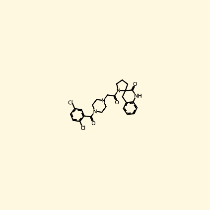 O=C(c1cc(Cl)ccc1Cl)N1CCN(CC(=O)N2CCCC23Cc2ccccc2NC3=O)CC1